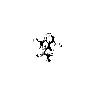 CC[C@H](C)[C@H](NC(C)=O)C(=O)N[C@@H](C)C(=O)O